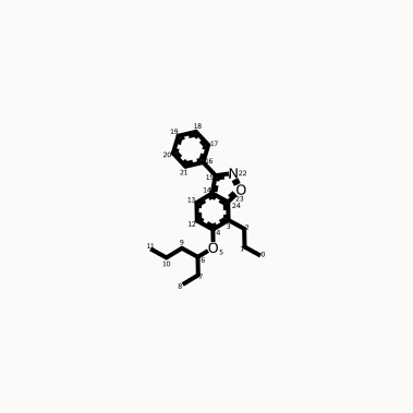 CCCc1c(OC(CC)CCC)ccc2c(-c3ccccc3)noc12